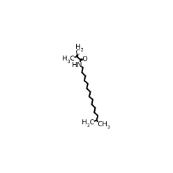 C=C(C)C(=O)NCCCCCCCCCCCCCC(C)C